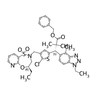 CC[C@@H]1CN(Cc2cc([C@@H](c3ccc4c(nnn4CC)c3C)C(C)(C)C(=O)OCc3ccccc3)sc2Cl)S(=O)(=O)c2cccnc2O1